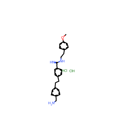 COc1ccc(CCNC(=N)c2ccc(CCc3ccc(CN)cc3)cc2)cc1.Cl.Cl